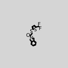 O=C(CSc1ccc(C(F)F)s1)N1Cc2ccccc2C1